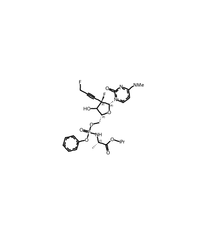 CNc1ccn([C@@H]2O[C@H](COP(=O)(N[C@@H](C)C(=O)OC(C)C)Oc3ccccc3)C(O)[C@]2(F)C#CCF)c(=O)n1